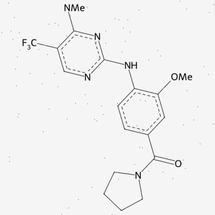 CNc1nc(Nc2ccc(C(=O)N3CCCC3)cc2OC)ncc1C(F)(F)F